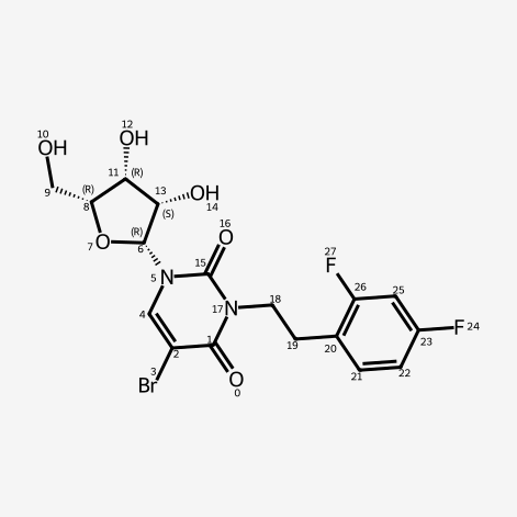 O=c1c(Br)cn([C@@H]2O[C@H](CO)[C@H](O)[C@@H]2O)c(=O)n1CCc1ccc(F)cc1F